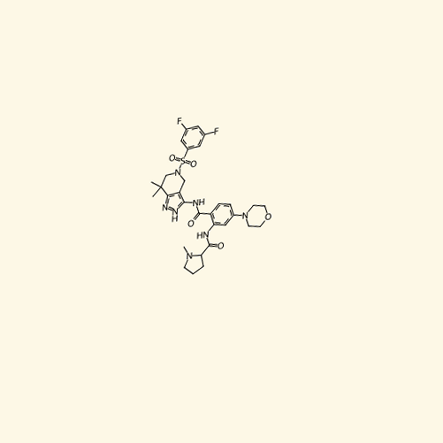 CN1CCCC1C(=O)Nc1cc(N2CCOCC2)ccc1C(=O)Nc1[nH]nc2c1CN(S(=O)(=O)c1cc(F)cc(F)c1)CC2(C)C